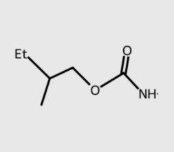 CCC(C)COC([NH])=O